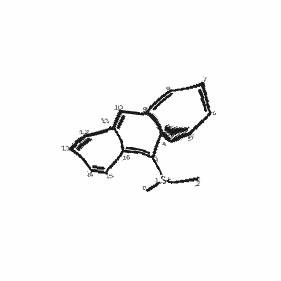 C[S+](C)c1c2ccccc2cc2ccccc12